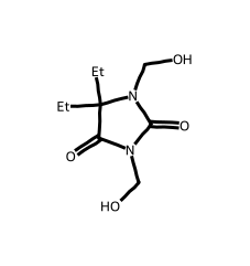 CCC1(CC)C(=O)N(CO)C(=O)N1CO